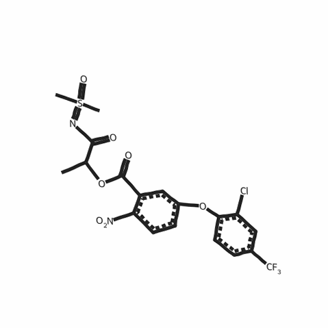 CC(OC(=O)c1cc(Oc2ccc(C(F)(F)F)cc2Cl)ccc1[N+](=O)[O-])C(=O)N=S(C)(C)=O